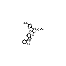 COCC[C@@H](Oc1ncnc2c1cnn2-c1ccccc1Cl)C(=O)Nc1ccc(C)cn1